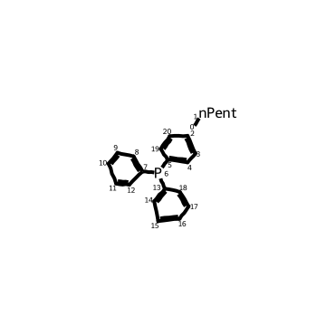 CCCCCC.c1ccc(P(c2ccccc2)c2ccccc2)cc1